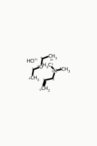 C=CCN(C)C.CCOCC.Cl